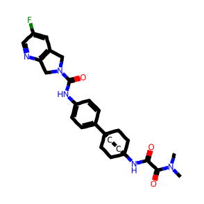 CN(C)C(=O)C(=O)NC12CCC(c3ccc(NC(=O)N4Cc5cc(F)cnc5C4)cc3)(CC1)CC2